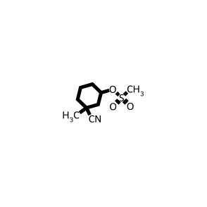 CC1(C#N)CCCC(OS(C)(=O)=O)C1